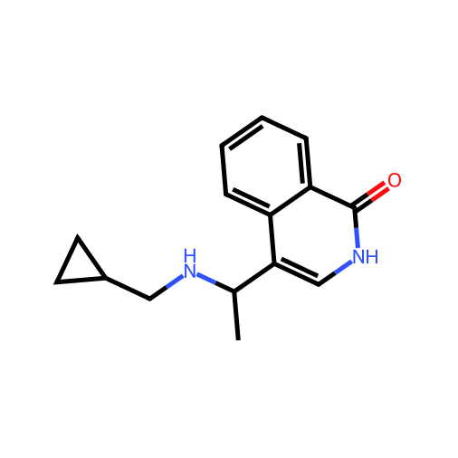 CC(NCC1CC1)c1c[nH]c(=O)c2ccccc12